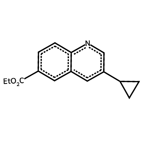 CCOC(=O)c1ccc2ncc(C3CC3)cc2c1